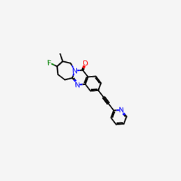 CC1Cn2c(nc3cc(C#Cc4ccccn4)ccc3c2=O)CCC1F